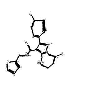 CCc1ccc(-c2nn3c(c2C(=O)NCc2ccco2)NCCC3C(F)(F)F)cc1